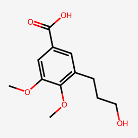 COc1cc(C(=O)O)cc(CCCO)c1OC